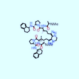 CN[C@@H](C)C(=O)NC(C(=O)N1CCC[C@H]1C(=O)NC1CCCc2ccccc21)[C@@H](C)CCc1nnn2c1-c1c(CC[C@H](C)[C@H](NC(=O)[C@H](C)NC)C(=O)N3CCC[C@H]3C(=O)N[C@@H]3CCCc4ccccc43)nnn1CC2